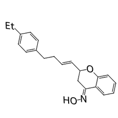 CCc1ccc(CC/C=C/C2CC(=NO)c3ccccc3O2)cc1